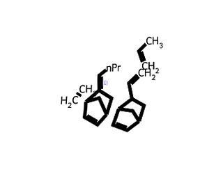 C=C.C=CC.C=CC1CC2C=CC1C2.CCC/C=C1\CC2C=CC1C2